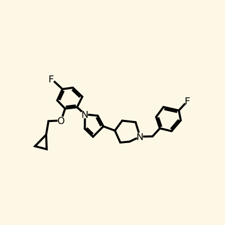 Fc1ccc(CN2CCC(c3ccn(-c4ccc(F)cc4OCC4CC4)c3)CC2)cc1